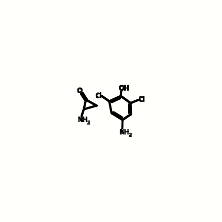 NC1CC1=O.Nc1cc(Cl)c(O)c(Cl)c1